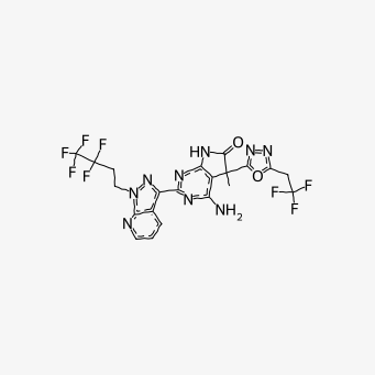 CC1(c2nnc(CC(F)(F)F)o2)C(=O)Nc2nc(-c3nn(CCC(F)(F)C(F)(F)F)c4ncccc34)nc(N)c21